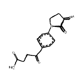 N=C1CCN(c2ccc(C(=O)CCC(=O)O)cc2)C1=O